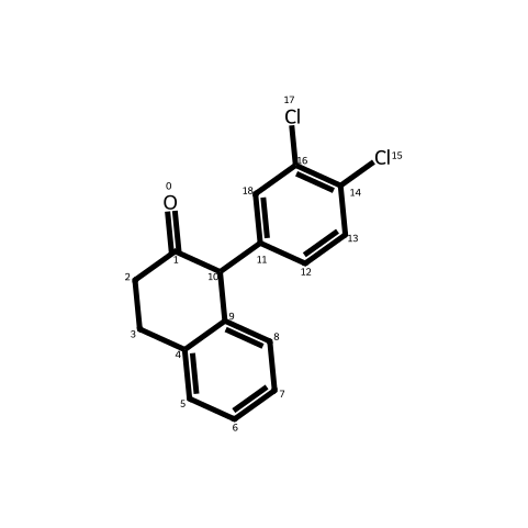 O=C1CCc2ccccc2C1c1ccc(Cl)c(Cl)c1